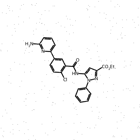 CCOC(=O)c1cc(NC(=O)c2cc(-c3cccc(N)n3)ccc2Cl)n(-c2ccccc2)n1